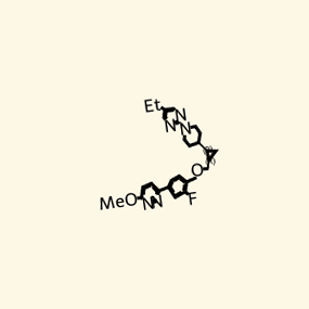 CCc1cnc(N2CCC([C@H]3C[C@H]3COCc3ccc(-c4ccc(OC)nn4)cc3F)CC2)nc1